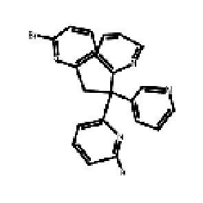 Brc1cccc(CC(c2cccnc2)(c2ccccn2)c2cccc(Br)n2)n1